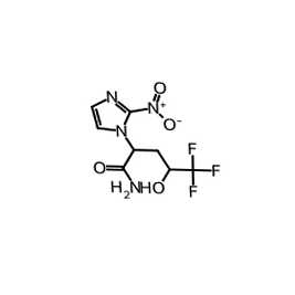 NC(=O)C(CC(O)C(F)(F)F)n1ccnc1[N+](=O)[O-]